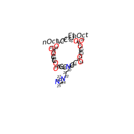 CCCCCCCCC1CCC(CC)C(CCCCCCCC)OC(=O)OCCOC(=O)CCN(CCCn2ccnc2)CCC(=O)OCCOC(=O)O1